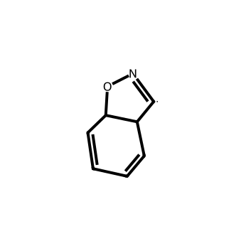 [C]1=NOC2C=CC=CC12